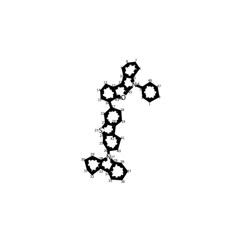 c1ccc(-n2c3ccccc3c3c4cccc(-c5ccc6c(c5)sc5cc(-n7c8ccccc8c8ccccc87)ccc56)c4oc32)cc1